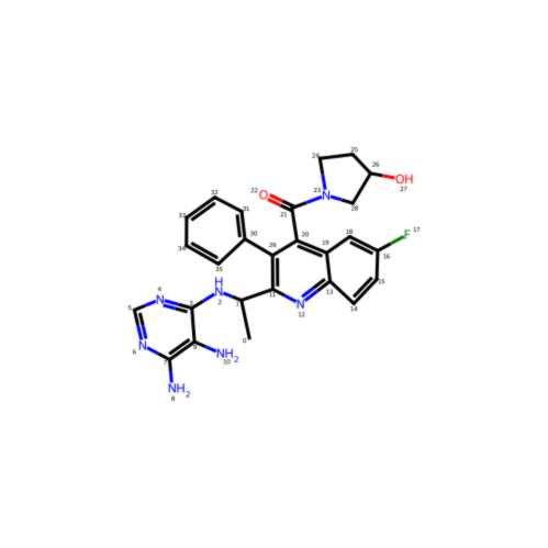 CC(Nc1ncnc(N)c1N)c1nc2ccc(F)cc2c(C(=O)N2CCC(O)C2)c1-c1ccccc1